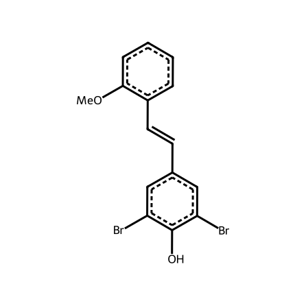 COc1ccccc1/C=C/c1cc(Br)c(O)c(Br)c1